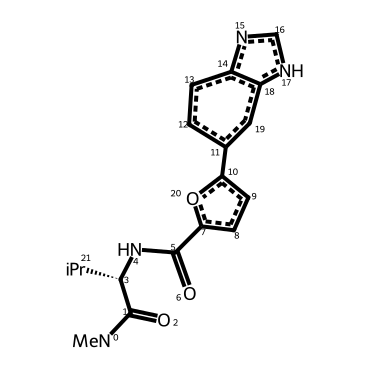 CNC(=O)[C@@H](NC(=O)c1ccc(-c2ccc3nc[nH]c3c2)o1)C(C)C